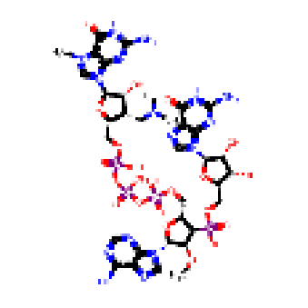 CO[C@@H]1[C@H](P(=O)(O)OC[C@H]2O[C@@H](n3cnc4c(=O)[nH]c(N)nc43)[C@H](O)[C@@H]2O)[C@@H](COP(=O)(O)OP(=O)(O)OP(=O)(O)OC[C@H]2OC(n3c[n+](C)c4c(=O)[nH]c(N)nc43)[C@H](O)[C@@H]2CN(C)C)O[C@H]1n1cnc2c(N)ncnc21